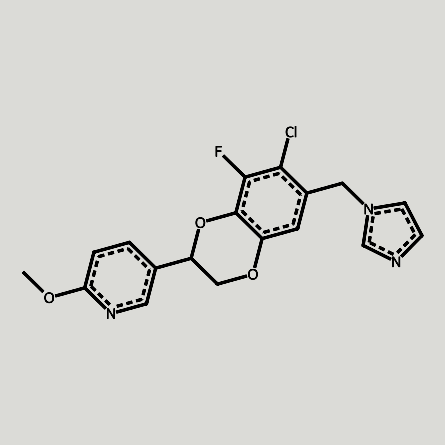 COc1ccc(C2COc3cc(Cn4ccnc4)c(Cl)c(F)c3O2)cn1